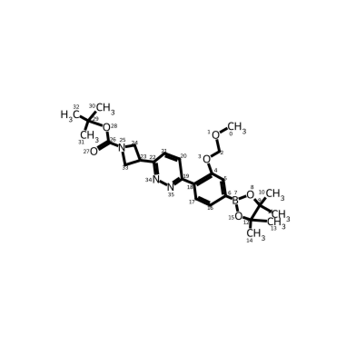 COCOc1cc(B2OC(C)(C)C(C)(C)O2)ccc1-c1ccc(C2CN(C(=O)OC(C)(C)C)C2)nn1